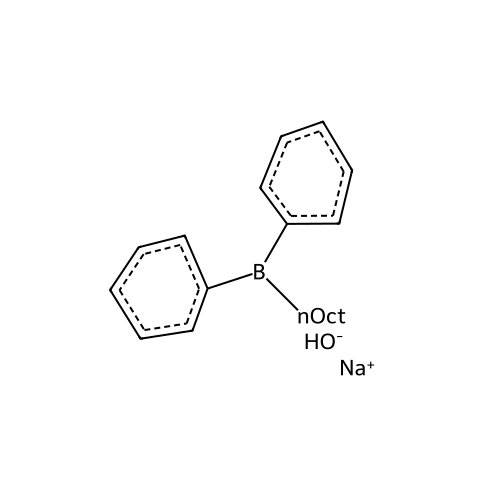 CCCCCCCCB(c1ccccc1)c1ccccc1.[Na+].[OH-]